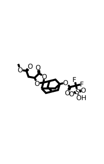 COC(=O)CC1OC2(OC1=O)C1CC3CC2CC(OC(=O)C(F)(F)S(=O)(=O)O)(C3)C1